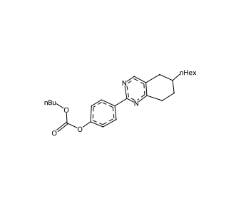 CCCCCCC1CCc2nc(-c3ccc(OC(=O)OCCCC)cc3)ncc2C1